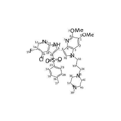 COc1cc2c(nc1OC)c(-c1[nH]c3ncc(F)c(Cl)c3c1S(=O)(=O)c1ccc(C)cc1)cn2CCCN1CCN(C)CC1